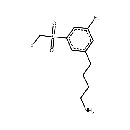 CCc1cc(CCCCN)cc(S(=O)(=O)CF)c1